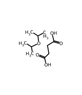 CC(C)OC(C)C.O=C(O)CCC(=O)O